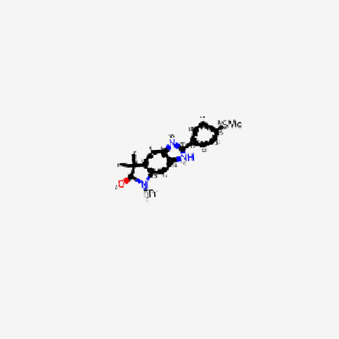 CCCN1C(=O)C(C)(C)c2cc3nc(-c4ccc(SC)cc4)[nH]c3cc21